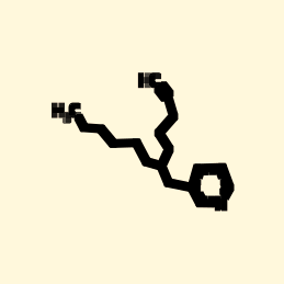 C#CCCCC(CCCCCC)Cc1cccnc1